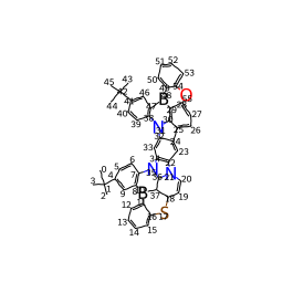 CC(C)(C)c1ccc2c(c1)B1c3ccccc3SC3C=CN4c5cc6c7ccc8c9c7n(c6cc5N2C4C13)-c1ccc(C(C)(C)C)cc1B9c1ccccc1O8